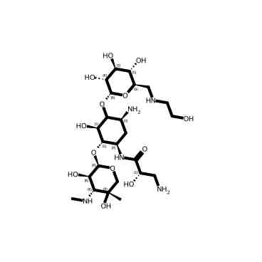 CN[C@@H]1[C@@H](O)[C@@H](O[C@H]2[C@H](NC(=O)[C@@H](O)CN)C[C@H](N)C(O[C@H]3O[C@H](CNCCO)[C@@H](O)[C@H](O)[C@H]3O)[C@@H]2O)OC[C@]1(C)O